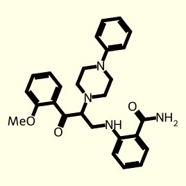 COc1ccccc1C(=O)C(CNc1ccccc1C(N)=O)N1CCN(c2ccccc2)CC1